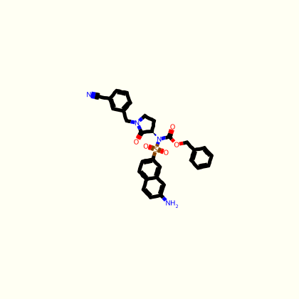 N#Cc1cccc(CN2CC[C@H](N(C(=O)OCc3ccccc3)S(=O)(=O)c3ccc4ccc(N)cc4c3)C2=O)c1